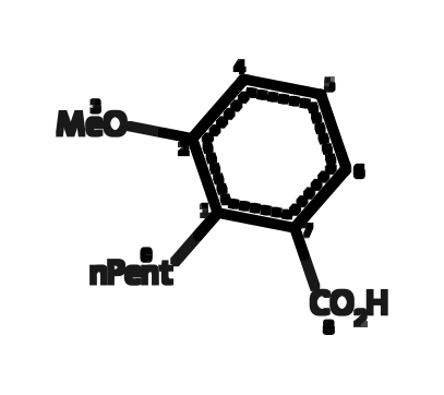 C[CH]CCCc1c(OC)cccc1C(=O)O